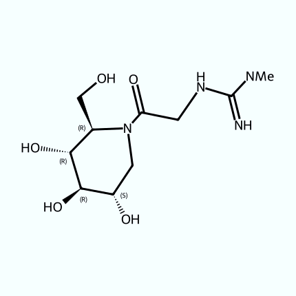 CNC(=N)NCC(=O)N1C[C@H](O)[C@@H](O)[C@H](O)[C@H]1CO